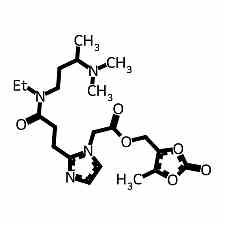 CCN(CCC(C)N(C)C)C(=O)CCc1nccn1CC(=O)OCc1oc(=O)oc1C